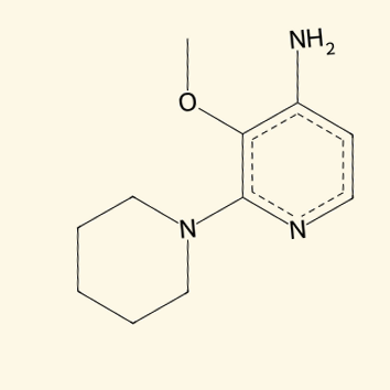 COc1c(N)ccnc1N1CCCCC1